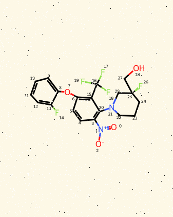 O=[N+]([O-])c1ccc(Oc2ccccc2F)c(C(F)(F)F)c1N1CCC[C@@](F)(CO)C1